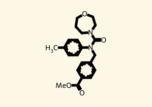 COC(=O)c1ccc(CN(C(=O)N2CCCOCC2)c2ccc(C)cc2)cc1